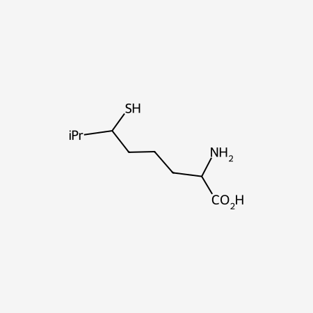 CC(C)C(S)CCCC(N)C(=O)O